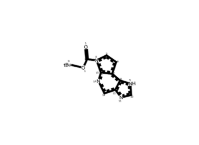 CC(C)(C)OC(=O)n1ccc2c3[nH]cnc3cnc21